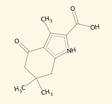 Cc1c(C(=O)O)[nH]c2c1C(=O)CC(C)(C)C2